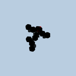 c1ccc2c(c1)oc1cc3c(cc12)c1ccccc1n3-c1ccc2nc(-n3c4ccccc4c4cc5c(cc43)oc3ccccc35)c(-n3c4ccccc4c4cc5c(cc43)oc3ccccc35)nc2c1